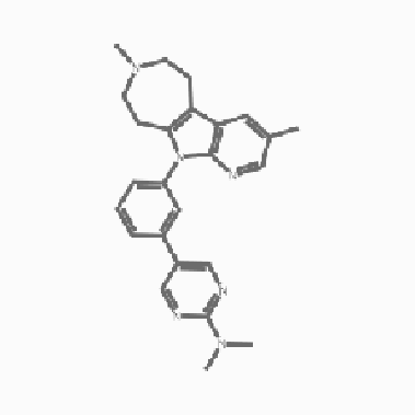 Cc1cnc2c(c1)c1c(n2-c2cccc(-c3cnc(N(C)C)nc3)c2)CCN(C)CC1